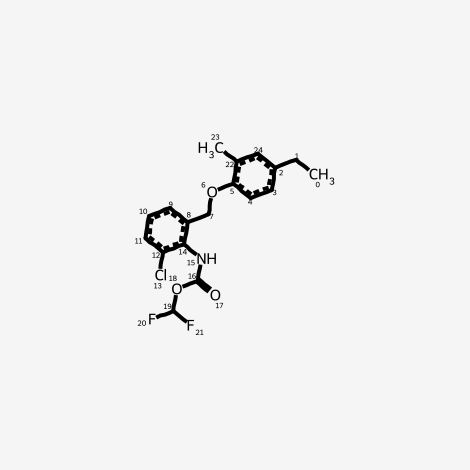 CCc1ccc(OCc2cccc(Cl)c2NC(=O)OC(F)F)c(C)c1